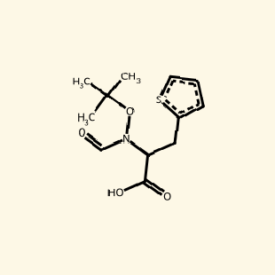 CC(C)(C)ON(C=O)C(Cc1cccs1)C(=O)O